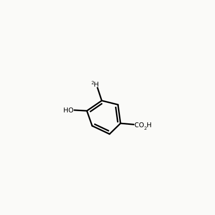 [2H]c1cc(C(=O)O)ccc1O